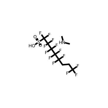 CNC.O=S(=O)(O)C(F)(F)C(F)(F)C(F)(F)C(F)(F)C(F)(F)CCC(F)(F)F